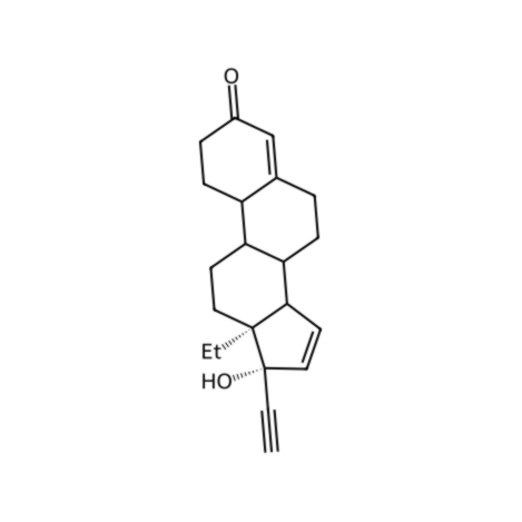 C#C[C@]1(O)C=CC2C3CCC4=CC(=O)CCC4C3CC[C@@]21CC